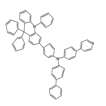 c1ccc(-c2ccc(N(c3ccc(-c4ccncc4)cc3)c3ccc(-c4ccc5c(c4)N(c4ccccc4)c4ccccc4C5(c4ccccc4)c4ccccc4)cc3)cc2)cc1